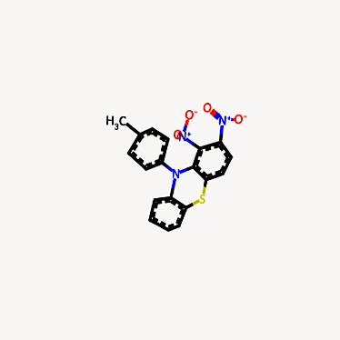 Cc1ccc(N2c3ccccc3Sc3ccc([N+](=O)[O-])c([N+](=O)[O-])c32)cc1